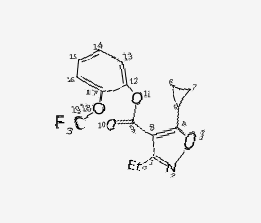 CCc1noc(C2CC2)c1C(=O)Oc1ccccc1OC(F)(F)F